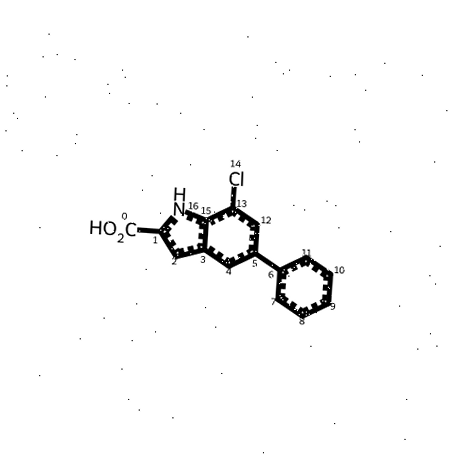 O=C(O)c1cc2cc(-c3ccccc3)cc(Cl)c2[nH]1